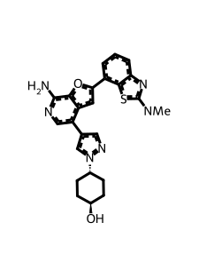 CNc1nc2cccc(-c3cc4c(-c5cnn([C@H]6CC[C@H](O)CC6)c5)cnc(N)c4o3)c2s1